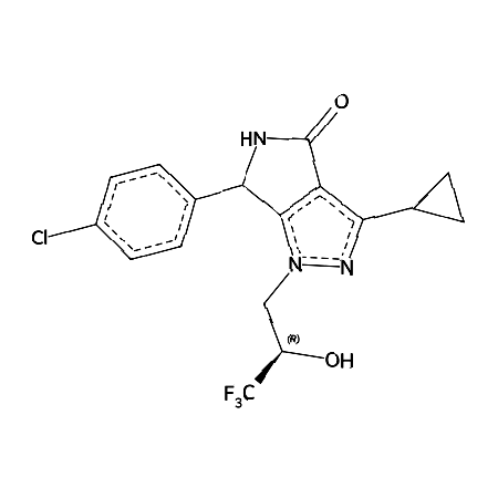 O=C1NC(c2ccc(Cl)cc2)c2c1c(C1CC1)nn2C[C@@H](O)C(F)(F)F